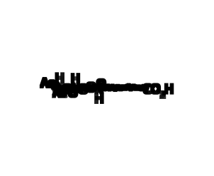 CC(=O)CC[C@H](NC(=O)COCC(=O)NCCOCCOCCNC(=O)CCCCCCCCCCCCCCCCC(=O)O)C(C)=O